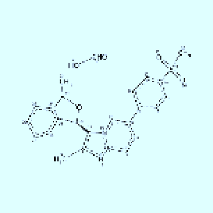 Cc1nc2ccc(-c3ccc(S(C)(=O)=O)cc3)cn2c1[C@@H]1O[C@@H](C)c2ccccc21.O=CO